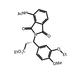 CCOC(=O)C[C@@H](c1ccc(OC)c(OCC)c1)N1C(=O)c2cccc(NC(C)=O)c2C1=O